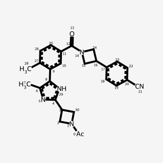 CC(=O)N1CC(c2nc(C)c(-c3cc(C(=O)N4CC(c5ccc(C#N)cc5)C4)ccc3C)[nH]2)C1